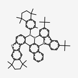 Cc1cc2c(cc1N1B3c4c(cc5ccccc5c4-n4c5ccc(C(C)(C)C)cc5c5cc(C(C)(C)C)cc3c54)-c3c1ccc1sc4cc5c(cc4c31)C(C)(C)CCC5(C)C)C(C)(C)CCC2(C)C